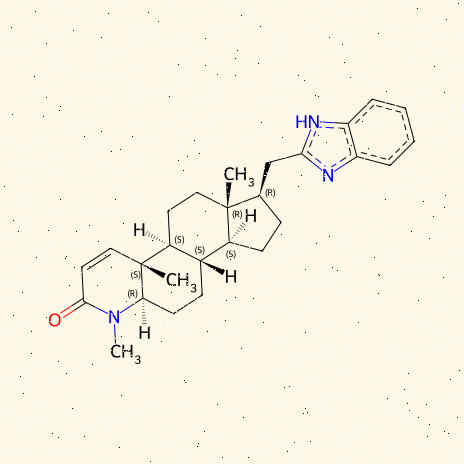 CN1C(=O)C=C[C@]2(C)[C@H]3CC[C@]4(C)[C@@H](Cc5nc6ccccc6[nH]5)CC[C@H]4[C@@H]3CC[C@@H]12